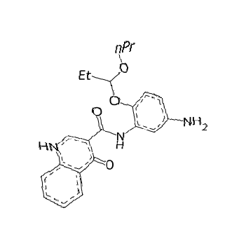 CCCOC(CC)Oc1ccc(N)cc1NC(=O)c1c[nH]c2ccccc2c1=O